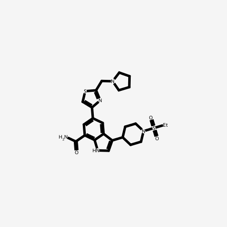 CCS(=O)(=O)N1CCC(c2c[nH]c3c(C(N)=O)cc(-c4csc(CN5CCCC5)n4)cc23)CC1